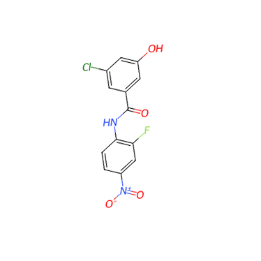 O=C(Nc1ccc([N+](=O)[O-])cc1F)c1cc(O)cc(Cl)c1